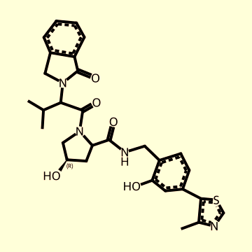 Cc1ncsc1-c1ccc(CNC(=O)C2C[C@@H](O)CN2C(=O)C(C(C)C)N2Cc3ccccc3C2=O)c(O)c1